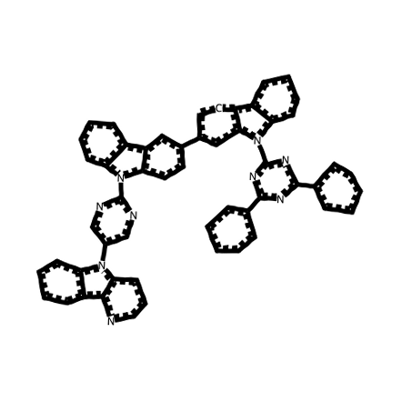 c1ccc(-c2nc(-c3ccccc3)nc(-n3c4ccccc4c4ccc(-c5ccc6c(c5)c5ccccc5n6-c5ncc(-n6c7ccccc7c7ncccc76)cn5)cc43)n2)cc1